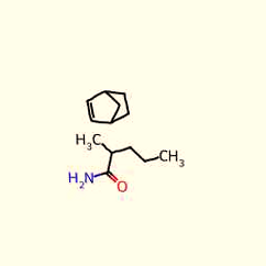 C1=CC2CCC1C2.CCCC(C)C(N)=O